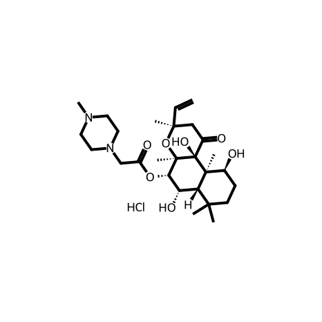 C=C[C@@]1(C)CC(=O)[C@]2(O)[C@@]3(C)[C@@H](O)CCC(C)(C)[C@@H]3[C@H](O)[C@H](OC(=O)CN3CCN(C)CC3)[C@@]2(C)O1.Cl